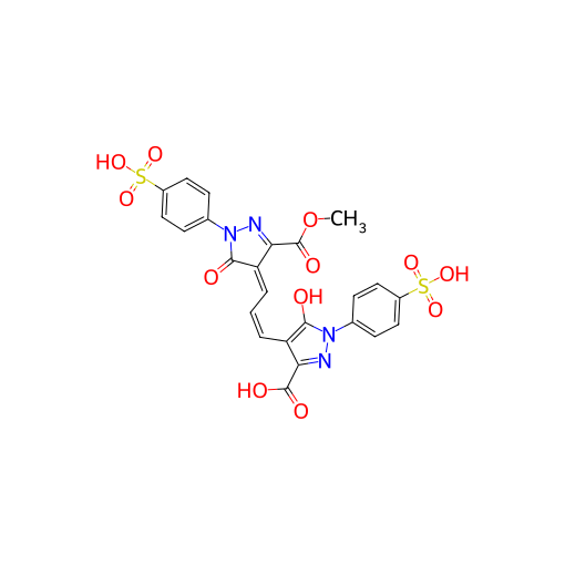 COC(=O)C1=NN(c2ccc(S(=O)(=O)O)cc2)C(=O)/C1=C\C=C/c1c(C(=O)O)nn(-c2ccc(S(=O)(=O)O)cc2)c1O